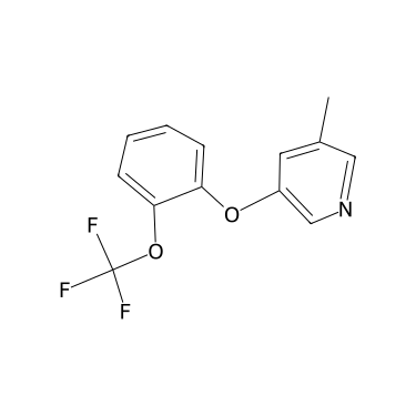 Cc1cncc(Oc2ccccc2OC(F)(F)F)c1